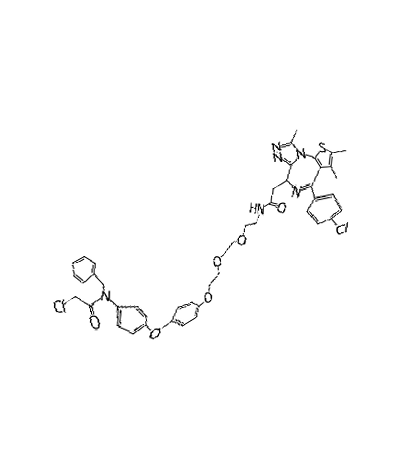 Cc1sc2c(c1C)C(c1ccc(Cl)cc1)=NC(CC(=O)NCCOCCOCCOc1ccc(Oc3ccc(N(Cc4ccccc4)C(=O)CCl)cc3)cc1)c1nnc(C)n1-2